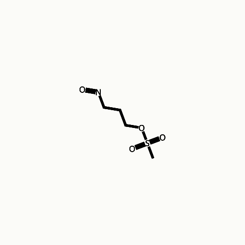 CS(=O)(=O)OCCCN=O